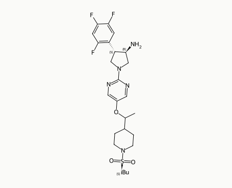 CC[C@H](C)S(=O)(=O)N1CCC(C(C)Oc2cnc(N3C[C@H](c4cc(F)c(F)cc4F)[C@@H](N)C3)nc2)CC1